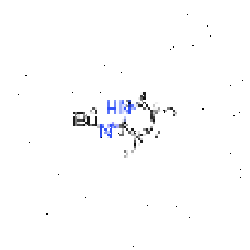 CCC(C)/N=c1\[nH]cc(C)cc1C